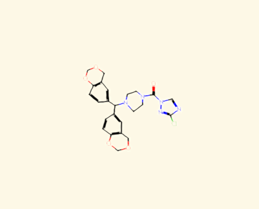 O=C(N1CCN(C(c2ccc3c(c2)COCO3)c2ccc3c(c2)COCO3)CC1)n1cnc(Cl)n1